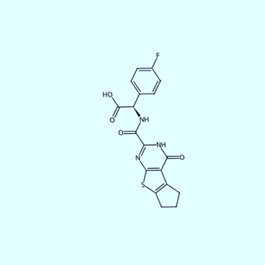 O=C(N[C@@H](C(=O)O)c1ccc(F)cc1)c1nc2sc3c(c2c(=O)[nH]1)CCC3